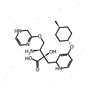 C[C@H]1CC[C@H](OC2=CC(C[C@](O)(C(=O)O)[C@@H](N)COC3=NC=CNC3)NC=C2)CC1